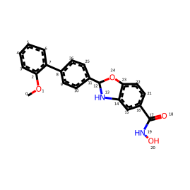 COc1ccccc1-c1ccc(C2Nc3cc(C(=O)NO)ccc3O2)cc1